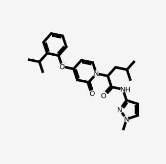 CC(C)CC(C(=O)Nc1ccn(C)n1)n1ccc(Oc2ccccc2C(C)C)cc1=O